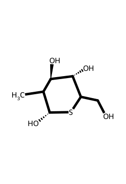 CC1[C@@H](O)[C@H](O)C(CO)S[C@@H]1O